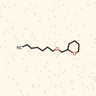 N#CCCCCCCOCC1CCCCO1